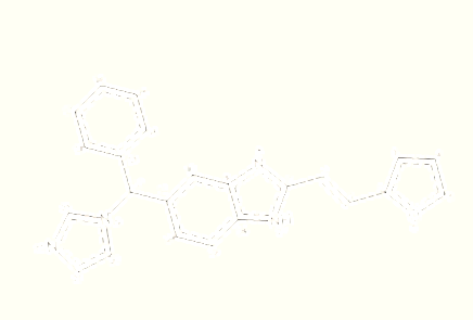 C(=C\c1ccco1)/c1nc2cc(C(c3ccccc3)n3ccnc3)ccc2[nH]1